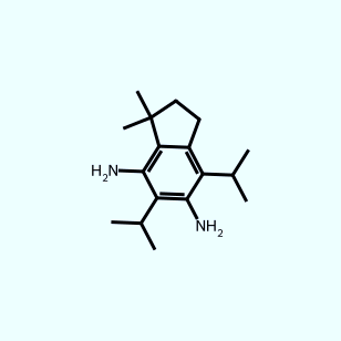 CC(C)c1c(N)c(C(C)C)c2c(c1N)C(C)(C)CC2